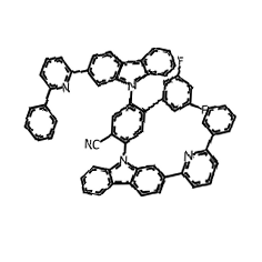 N#Cc1cc(-n2c3ccccc3c3ccc(-c4cccc(-c5ccccc5)n4)cc32)c(-c2cc(F)cc(F)c2)cc1-n1c2ccccc2c2ccc(-c3cccc(-c4ccccc4)n3)cc21